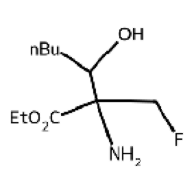 CCCCC(O)C(N)(CF)C(=O)OCC